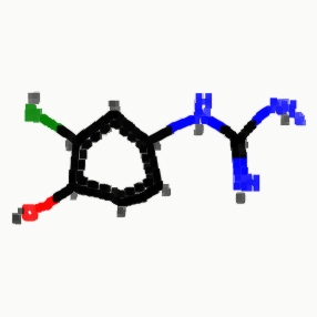 N=C(N)Nc1ccc([O])c(Br)c1